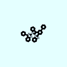 c1ccc(-c2ccc3c(c2)c2c4ccccc4n(-c4nc(-c5ccccc5)c5ccccc5n4)c2n2c4ccccc4nc32)cc1